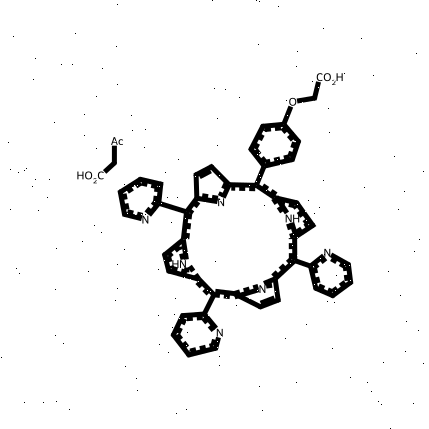 CC(=O)CC(=O)O.O=C(O)COc1ccc(-c2c3nc(c(-c4ccccn4)c4ccc([nH]4)c(-c4ccccn4)c4nc(c(-c5ccccn5)c5ccc2[nH]5)C=C4)C=C3)cc1